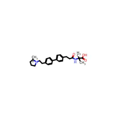 C[C@@H]1CCCN1CCc1ccc(-c2ccc(CCC(=O)NC(C)(C)C(=O)O)cc2)cc1